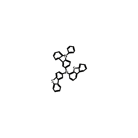 c1ccc(-n2c3ccccc3c3cc(N(c4ccc5sc6ccccc6c5c4)c4cccc5c4sc4ccccc45)ccc32)cc1